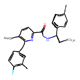 COc1ccc(C(=O)NC(CC(=O)O)c2ccc(C)cc2)nc1-c1ccc(F)c(C)c1